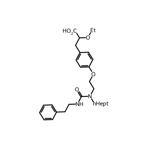 CCCCCCCN(CCOc1ccc(CC(OCC)C(=O)O)cc1)C(=O)NCCc1ccccc1